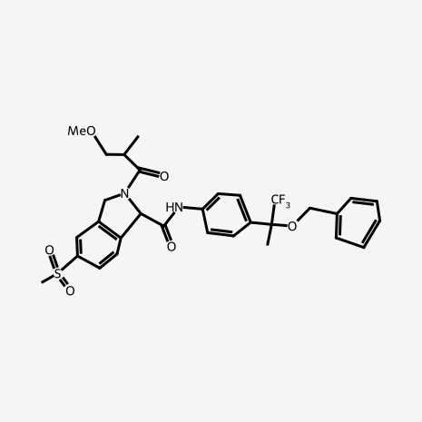 COCC(C)C(=O)N1Cc2cc(S(C)(=O)=O)ccc2C1C(=O)Nc1ccc(C(C)(OCc2ccccc2)C(F)(F)F)cc1